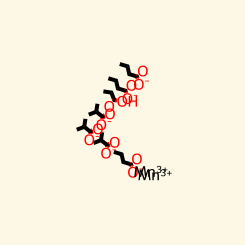 CC(C)C(=O)[O-].CC(C)C(=O)[O-].CC(C)C(=O)[O-].CCC(=O)O.CCCC(=O)[O-].CCCC(=O)[O-].CCCC(=O)[O-].[Mn+3].[Mn+3]